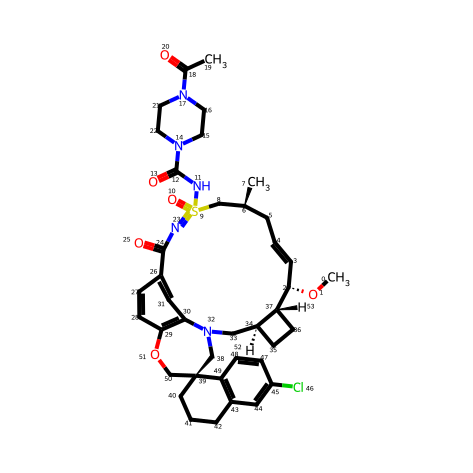 CO[C@H]1/C=C/C[C@H](C)CS(=O)(NC(=O)N2CCN(C(C)=O)CC2)=NC(=O)c2ccc3c(c2)N(C[C@@H]2CC[C@H]21)C[C@@]1(CCCc2cc(Cl)ccc21)CO3